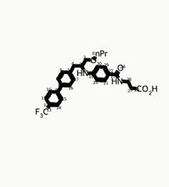 CCCOCC(Cc1ccc(-c2ccc(C(F)(F)F)cc2)cc1)Nc1ccc(C(=O)NCCC(=O)O)cc1